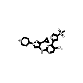 CS(=O)(=O)c1csc(-c2nc(Nc3cn(C4CCNCC4)nc3C3CC3)ncc2C(F)(F)F)c1